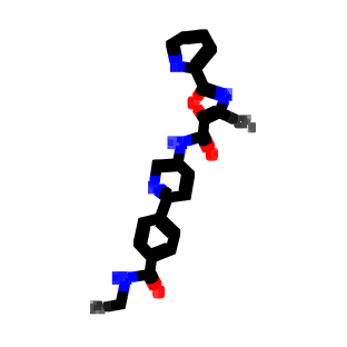 CC(C)CNC(=O)c1ccc(-c2ccc(NC(=O)c3oc(-c4ccccn4)nc3C(F)(F)F)cn2)cc1